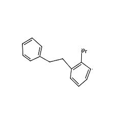 CC(C)c1[c]cccc1CCc1ccccc1